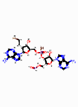 Nc1ncnc2c1ncn2[C@@H]1O[C@H](COP=O)[C@@H](O[P@](=O)(S)OC[C@H]2O[C@@H](n3cnc4c(N)ncnc43)[C@H](CCS)[C@@H]2O)[C@H]1O